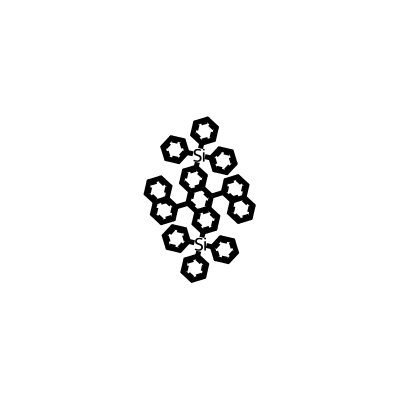 c1ccc([Si](c2ccccc2)(c2ccccc2)c2ccc3c(-c4cccc5ccccc45)c4cc([Si](c5ccccc5)(c5ccccc5)c5ccccc5)ccc4c(-c4cccc5ccccc45)c3c2)cc1